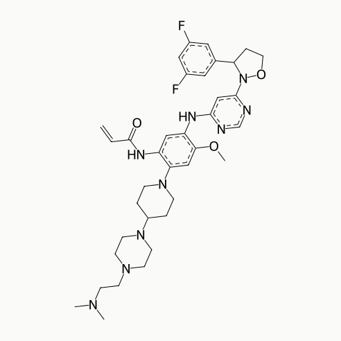 C=CC(=O)Nc1cc(Nc2cc(N3OCCC3c3cc(F)cc(F)c3)ncn2)c(OC)cc1N1CCC(N2CCN(CCN(C)C)CC2)CC1